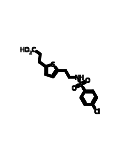 O=C(O)CCc1ccc(CCNS(=O)(=O)c2ccc(Cl)cc2)s1